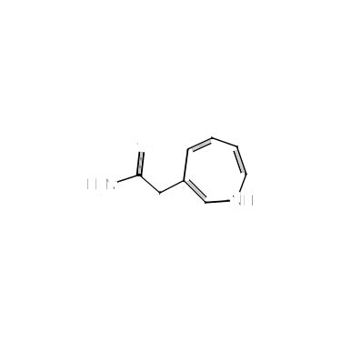 NC(=O)CC1=CNC=CC=C1